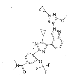 COc1nn(C2CC2)cc1-n1cc2c(-c3nc(-c4ccc(C(=O)N(C)C)cc4OC(F)(F)F)n(C)c3C3CC3)cccc2n1